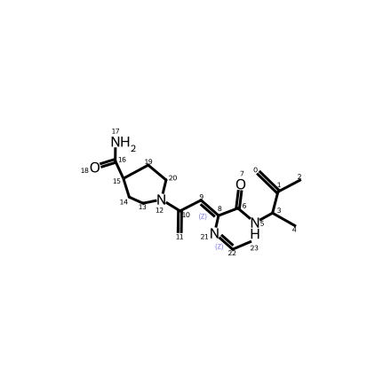 C=C(C)C(C)NC(=O)C(=C/C(=C)N1CCC(C(N)=O)CC1)/N=C\C